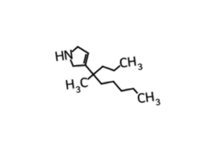 CCCCCC(C)(CCC)C1=CCNC1